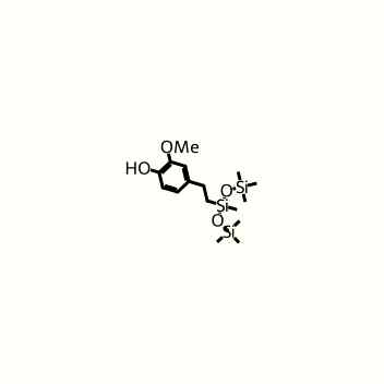 COc1cc(CC[Si](C)(O[Si](C)(C)C)O[Si](C)(C)C)ccc1O